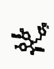 CNC(=O)C(c1ccc(F)cc1)N(CCCc1ccc(C(F)(F)F)nc1)c1ccc(Cl)c(OC)c1